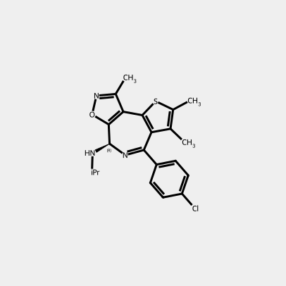 Cc1noc2c1-c1sc(C)c(C)c1C(c1ccc(Cl)cc1)=N[C@H]2NC(C)C